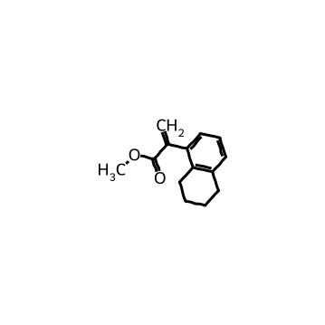 C=C(C(=O)OC)c1cccc2c1CCCC2